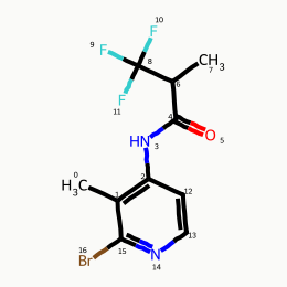 Cc1c(NC(=O)C(C)C(F)(F)F)ccnc1Br